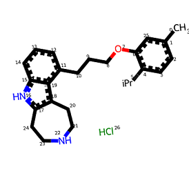 Cc1ccc(C(C)C)c(OCCCc2cccc3[nH]c4c(c23)CCNCC4)c1.Cl